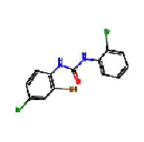 O=C(Nc1ccc(Br)cc1S)Nc1ccccc1Br